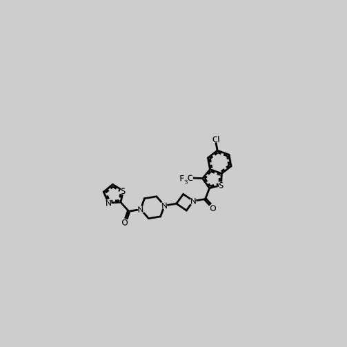 O=C(c1nccs1)N1CCN(C2CN(C(=O)c3sc4ccc(Cl)cc4c3C(F)(F)F)C2)CC1